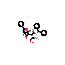 C=C(CO)[C@@H](C(=O)OC(c1ccccc1)c1ccccc1)C12C(=O)[C@@H]3C(=C(c4ccccc4)O[C@@H]31)[N+]2=[N-]